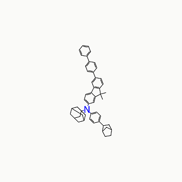 CC1(C)c2ccc(-c3ccc(-c4ccccc4)cc3)cc2-c2ccc(N(c3ccc(C4CC5CCC4C5)cc3)C34CC5CC(CC(C5)C3)C4)cc21